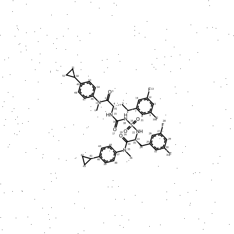 CN(C(=O)[C@H](CCc1cc(F)cc(F)c1)NC(=O)NS(=O)(=O)N[C@@H](Cc1cc(F)cc(F)c1)C(=O)N(C)c1ccc(C2CC2)cc1)c1ccc(C2CC2)cc1